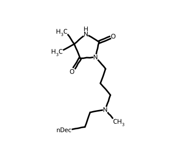 CCCCCCCCCCCCN(C)CCCN1C(=O)NC(C)(C)C1=O